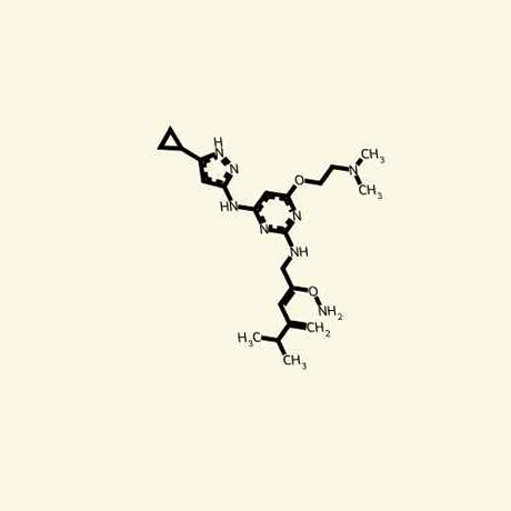 C=C(/C=C(/CNc1nc(Nc2cc(C3CC3)[nH]n2)cc(OCCN(C)C)n1)ON)C(C)C